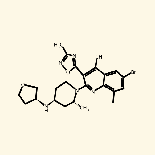 Cc1noc(-c2c(N3CC[C@H](N[C@H]4CCOC4)C[C@H]3C)nc3c(F)cc(Br)cc3c2C)n1